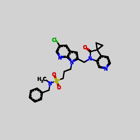 CN(Cc1ccccc1)S(=O)(=O)CCCn1c(CN2C(=O)C3(CC3)c3ccncc32)cc2cc(Cl)cnc21